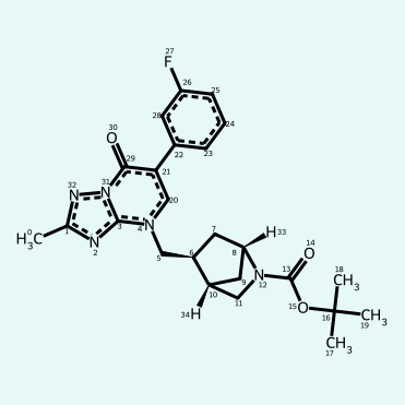 Cc1nc2n(C[C@H]3C[C@H]4C[C@@H]3CN4C(=O)OC(C)(C)C)cc(-c3cccc(F)c3)c(=O)n2n1